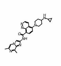 Cc1cn2cc(NC(=O)c3ccc(N4CCC(NC5CC5)CC4)c4ccnnc34)nc2c(C)n1